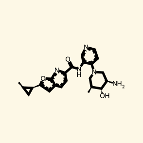 C[C@@H]1C[C@@H]1c1cc2ccc(C(=O)Nc3cnccc3N3C[C@@H](N)[C@H](O)[C@@H](C)C3)nc2o1